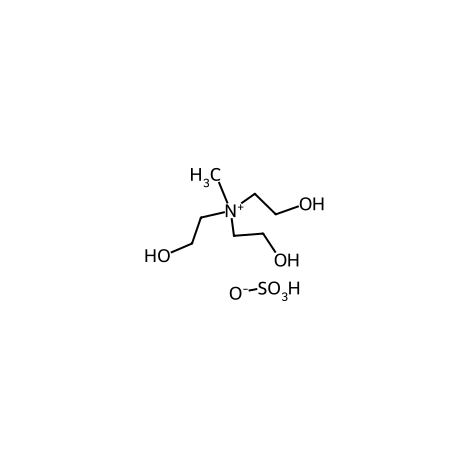 C[N+](CCO)(CCO)CCO.O=S(=O)([O-])O